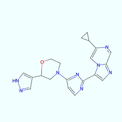 c1cc(N2CCOC(c3cn[nH]c3)C2)nc(-c2cnc3cnc(C4CC4)cn23)n1